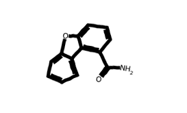 NC(=O)c1cccc2oc3ccccc3c12